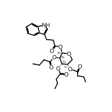 CCCC(=O)O[C@@H]1[C@@H](OC(=O)CCC)[C@@H](OC(=O)CCc2c[nH]c3ccccc23)OC[C@@H]1OC(=O)CCC